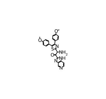 COc1ccc(-c2nc(C(N)C(=O)c3nc4cnccc4[nH]3)sc2-c2ccc(OC)cc2)cc1